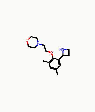 Cc1cc(C)c(OCCN2CCOCC2)c(C2CCN2)c1